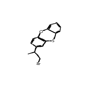 CC(CBr)c1ccc2c(c1)Sc1ccccc1O2